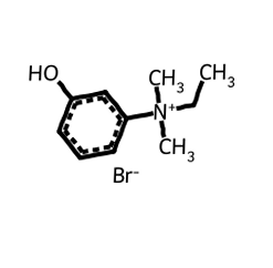 CC[N+](C)(C)c1cccc(O)c1.[Br-]